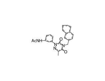 CC(=O)Nc1cccc(-n2nc(C)c(=O)n(Cc3ccc4ccccc4c3)c2=O)c1